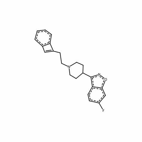 Fc1ccc2c(C3CCN(CCC4=Cc5ccccc54)CC3)noc2c1